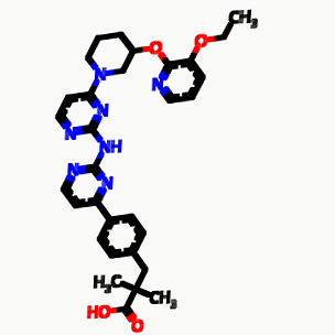 CCOc1cccnc1OC1CCCN(c2ccnc(Nc3nccc(-c4ccc(CC(C)(C)C(=O)O)cc4)n3)n2)C1